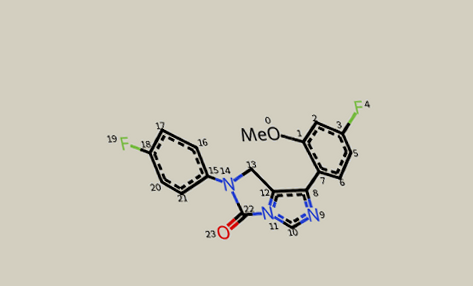 COc1cc(F)ccc1-c1ncn2c1CN(c1ccc(F)cc1)C2=O